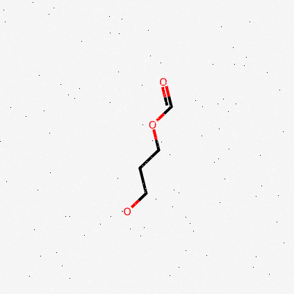 [O]CCCOC=O